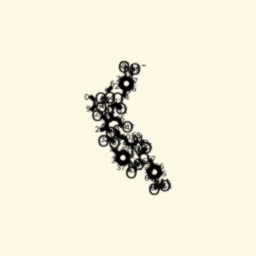 CCOP(OCC)(OCC)=C(C(=O)OCc1ccc([N+](=O)[O-])cc1)N1C(=O)C(C(C)OC(=O)OCc2ccc([N+](=O)[O-])cc2)C1CC(=O)SCCCC(=NC(=O)OCc1ccc([N+](=O)[O-])cc1)N(C)C